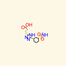 CNS(=O)(=O)c1cccc(-c2nnc(SCC(=O)O)[nH]2)c1